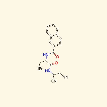 CC(C)CC(C#N)NC(=O)C(CC(C)C)NC(=O)c1ccc2ccccc2c1